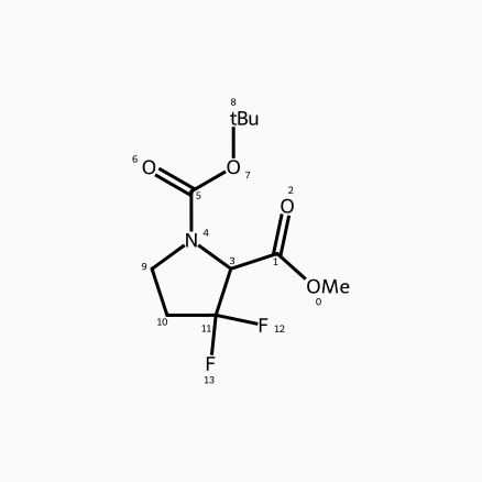 COC(=O)C1N(C(=O)OC(C)(C)C)CCC1(F)F